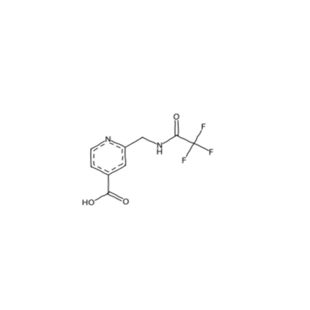 O=C(O)c1ccnc(CNC(=O)C(F)(F)F)c1